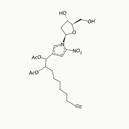 C#CCCCCCCC(OC(C)=O)C(OC(C)=O)c1cc([N+](=O)[O-])n([C@H]2C[C@H](O)[C@@H](CO)O2)c1